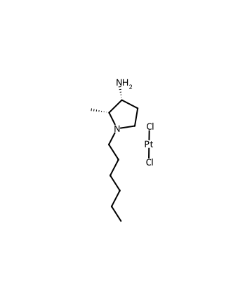 CCCCCCN1CC[C@@H](N)[C@H]1C.[Cl][Pt][Cl]